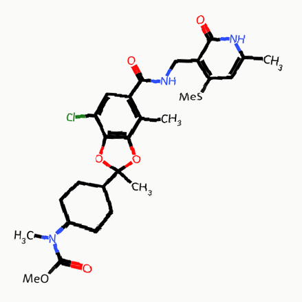 COC(=O)N(C)C1CCC(C2(C)Oc3c(Cl)cc(C(=O)NCc4c(SC)cc(C)[nH]c4=O)c(C)c3O2)CC1